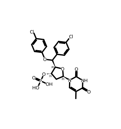 Cc1cn([C@H]2C[C@H](OP(=O)(O)O)[C@@H](C(Oc3ccc(Cl)cc3)c3ccc(Cl)cc3)O2)c(=O)[nH]c1=O